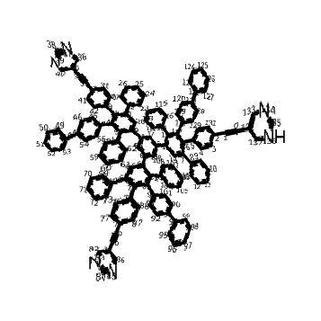 C(#Cc1ccc(-c2c(-c3ccccc3)cc(-c3cc(-c4cc(-c5ccccc5)c(-c5ccc(C#Cc6cncnc6)cc5)c(-c5ccc(-c6ccccc6)cc5)c4-c4ccccc4)cc(-c4cc(-c5ccccc5)c(-c5ccc(C#Cc6cncnc6)cc5)c(-c5ccc(-c6ccccc6)cc5)c4-c4ccccc4)c3)c(-c3ccccc3)c2-c2ccc(-c3ccccc3)cc2)cc1)C1=CN=CNC1